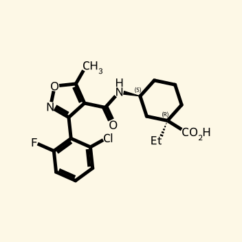 CC[C@@]1(C(=O)O)CCC[C@H](NC(=O)c2c(-c3c(F)cccc3Cl)noc2C)C1